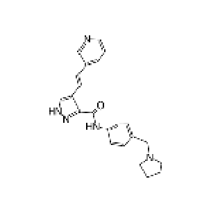 O=C(Nc1ccc(CN2CCCC2)cc1)c1n[nH]cc1/C=C/c1cccnc1